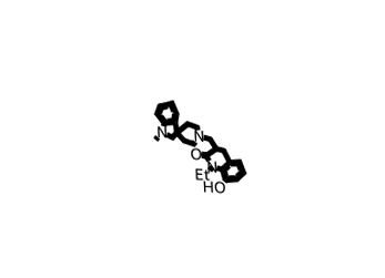 CCN1C(=O)C(CN2CCC3(CC2)CN(C)c2ccccc23)Cc2cccc(O)c21